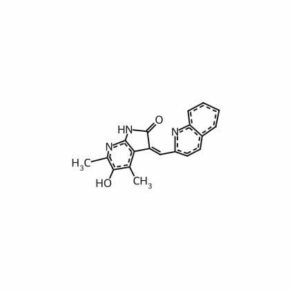 Cc1nc2c(c(C)c1O)C(=Cc1ccc3ccccc3n1)C(=O)N2